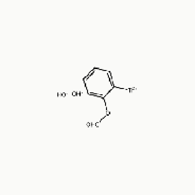 O=COc1cccc[c]1[Tl+2].[OH-].[OH-]